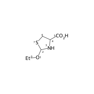 CCOC1NC(C(=O)O)CS1